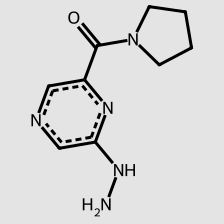 NNc1cncc(C(=O)N2CCCC2)n1